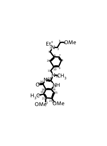 CCN(CCOC)Cc1cccc(CN(C)c2nc(=O)c3c(C)c(OC)c(OC)cc3[nH]2)c1